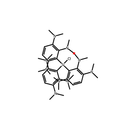 CN(C)c1ccc(N(C)C)c([Si](Cl)(c2c(N(C)C)ccc(N(C)C)c2N(C)C)c2c(N(C)C)ccc(N(C)C)c2N(C)C)c1N(C)C